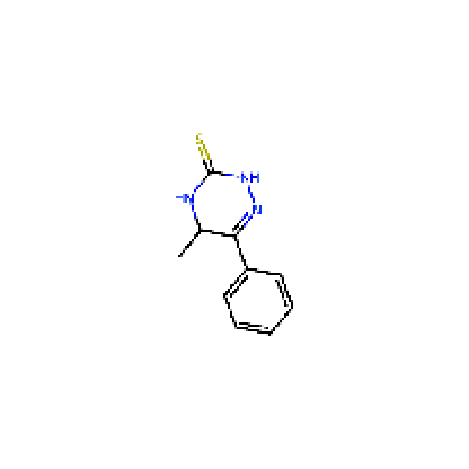 CC1NC(=S)NN=C1c1ccccc1